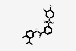 O=C(Nc1ccc(F)c(C(F)F)c1)c1cccc(S(=O)(=O)N2CCC(O)C(F)C2)c1